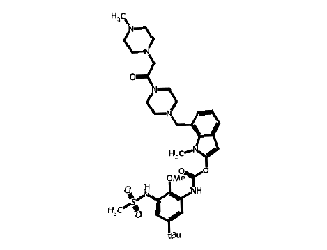 COc1c(NC(=O)Oc2cc3cccc(CN4CCN(C(=O)CN5CCN(C)CC5)CC4)c3n2C)cc(C(C)(C)C)cc1NS(C)(=O)=O